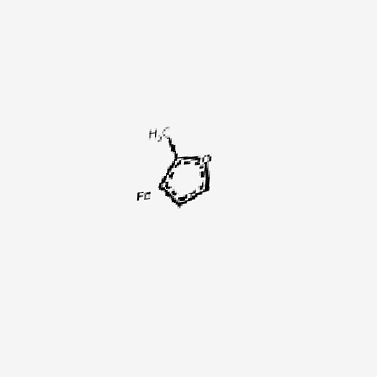 Cc1ccco1.[Pd]